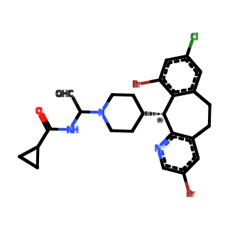 O=CC(NC(=O)C1CC1)N1CCC([C@H]2c3ncc(Br)cc3CCc3cc(Cl)cc(Br)c32)CC1